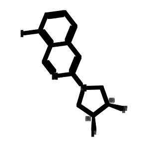 F[C@@H]1CN(c2cc3cccc(I)c3cn2)C[C@@H]1F